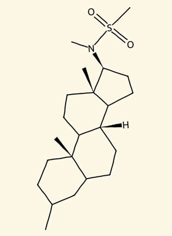 CC1CC[C@@]2(C)C(CC[C@@H]3C2CC[C@@]2(C)C3CC[C@@H]2N(C)S(C)(=O)=O)C1